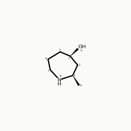 C[C@@H]1C[C@H](O)CCCN1